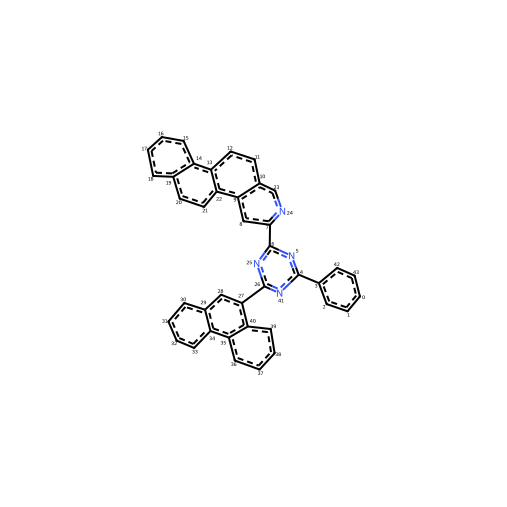 c1ccc(-c2nc(-c3cc4c(ccc5c6ccccc6ccc45)cn3)nc(-c3cc4ccccc4c4ccccc34)n2)cc1